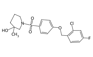 CC1(O)CCCN(S(=O)(=O)c2ccc(OCc3ccc(F)cc3Cl)cc2)C1